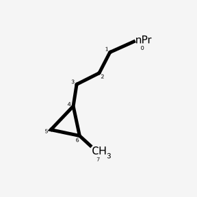 [CH2]CCCCCC1CC1C